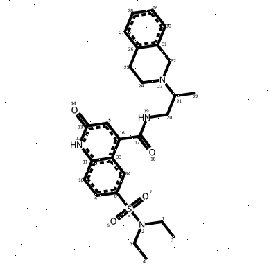 CCN(CC)S(=O)(=O)c1ccc2[nH]c(=O)cc(C(=O)NCC(C)N3CCc4ccccc4C3)c2c1